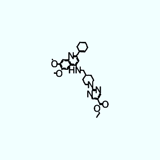 CCOC(=O)c1cnc(N2CCC(CNc3cc(C4=CCCCC4)nc4cc(OC)c(OC)cc34)CC2)nc1